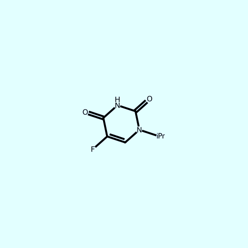 CC(C)n1cc(F)c(=O)[nH]c1=O